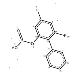 O=S(O)Oc1cc(F)cc(F)c1-c1ccccc1